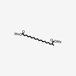 COC(=O)CCCCCCCCCCCCCCCC(C)C(=O)OC